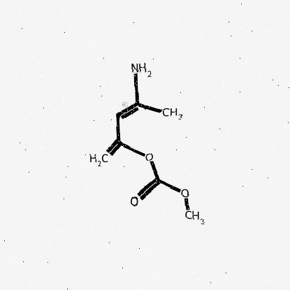 C=C(/C=C(\C)N)OC(=O)OC